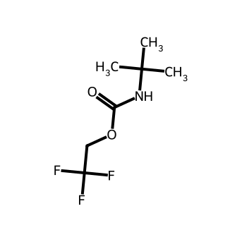 CC(C)(C)NC(=O)OCC(F)(F)F